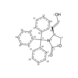 O=C1OC[C@H](/C=C/O)N1C(c1ccccc1)(c1ccccc1)c1ccccc1